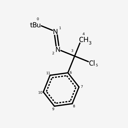 CC(C)(C)N=NC(C)(Cl)c1ccccc1